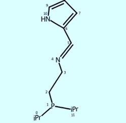 CC(C)P(CCN=Cc1ccc[nH]1)C(C)C